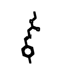 CCOC(=O)CN=Cc1ccc(C)cc1